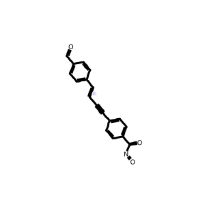 O=Cc1ccc(/C=C/C#Cc2ccc(C(=O)N=O)cc2)cc1